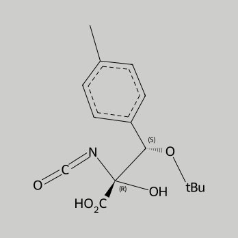 Cc1ccc([C@H](OC(C)(C)C)[C@](O)(N=C=O)C(=O)O)cc1